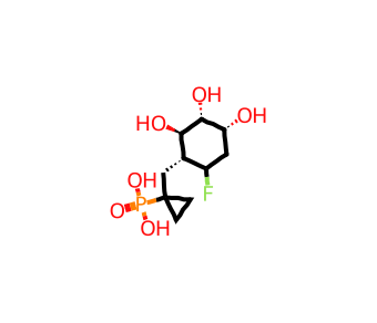 O=P(O)(O)C1(C[C@H]2C(F)C[C@@H](O)[C@@H](O)[C@@H]2O)CC1